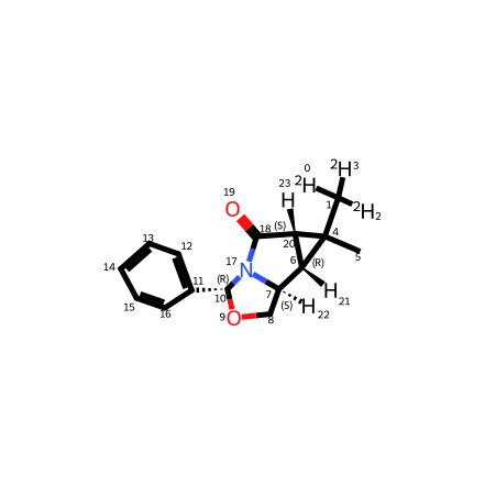 [2H]C([2H])([2H])C1(C)[C@@H]2[C@H]3CO[C@H](c4ccccc4)N3C(=O)[C@@H]21